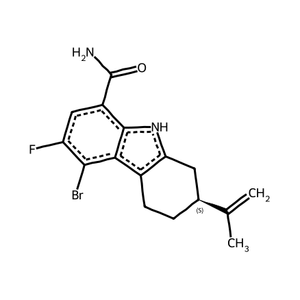 C=C(C)[C@H]1CCc2c([nH]c3c(C(N)=O)cc(F)c(Br)c23)C1